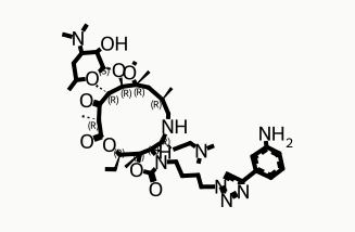 CC[C@H]1OC(=O)[C@H](C)C(=O)[C@H](C)[C@@H](O[C@@H]2OC(C)CC(N(C)C)C2O)[C@](C)(OC)C[C@@H](C)CN[C@H](CCN(C)C)[C@H]2N(CCCCn3cc(-c4cccc(N)c4)nn3)C(=O)O[C@]12C